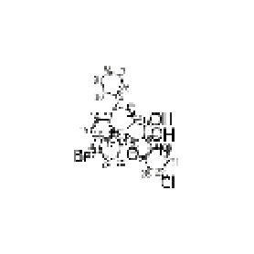 OC1C(SCc2ccccc2)C(c2ccccc2)[C@]2(c3ccc(Br)cc3)Oc3cc(Cl)cnc3[C@]12O